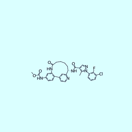 COC(=O)Nc1ccc2c(c1)NC(=O)CCCC[C@H](NC(=O)c1cnn(-c3cccc(Cl)c3F)c1C)c1cc-2ccn1